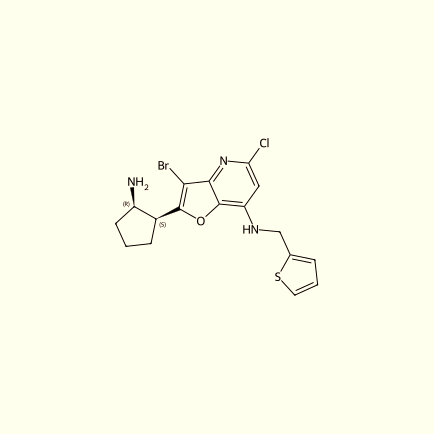 N[C@@H]1CCC[C@@H]1c1oc2c(NCc3cccs3)cc(Cl)nc2c1Br